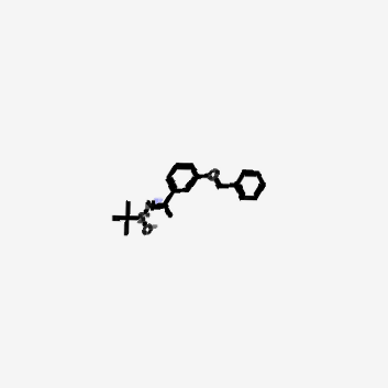 C/C(=N\[S+]([O-])C(C)(C)C)c1cccc(OCc2ccccc2)c1